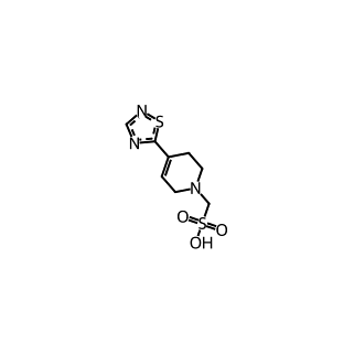 O=S(=O)(O)CN1CC=C(c2ncns2)CC1